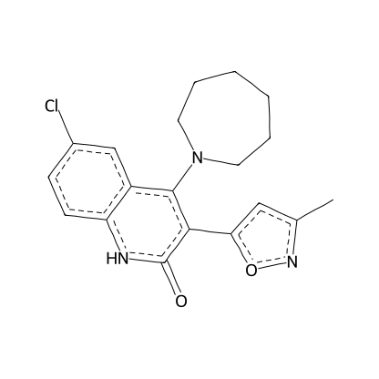 Cc1cc(-c2c(N3CCCCCC3)c3cc(Cl)ccc3[nH]c2=O)on1